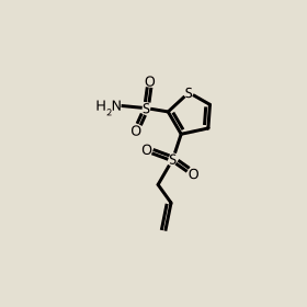 C=CCS(=O)(=O)c1ccsc1S(N)(=O)=O